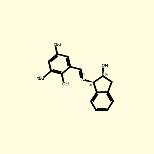 CC(C)(C)c1cc(/C=N/[C@@H]2c3ccccc3C[C@@H]2O)c(O)c(C(C)(C)C)c1